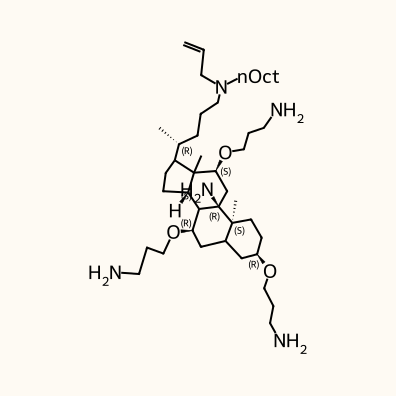 C=CCN(CCCCCCCC)CCC[C@@H](C)C1CC[C@H]2C3[C@H](OCCCN)CC4C[C@H](OCCCN)CC[C@]4(C)[C@@]3(N)C[C@H](OCCCN)C12C